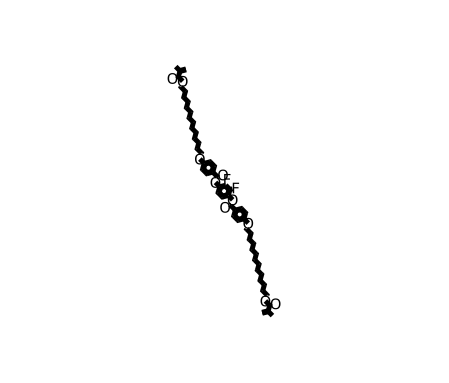 C=C(C)C(=O)OCCCCCCCCCCCCCCOc1ccc(C(=O)Oc2ccc(OC(=O)c3ccc(OCCCCCCCCCCCCCCOC(=O)C(=C)C)cc3)c(F)c2F)cc1